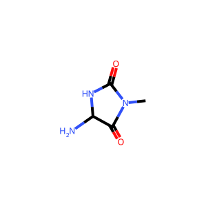 CN1C(=O)NC(N)C1=O